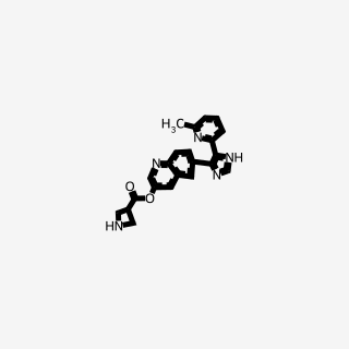 Cc1cccc(-c2[nH]cnc2-c2ccc3ncc(OC(=O)C4CNC4)cc3c2)n1